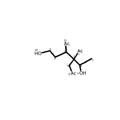 CC(=O)CC(C(C)=O)(C(C)O)C(CCO)C(C)=O